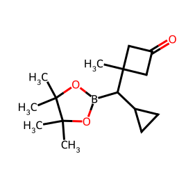 CC1(C(B2OC(C)(C)C(C)(C)O2)C2CC2)CC(=O)C1